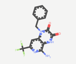 Nc1nc(C(F)(F)F)cc2c1[nH]c(=O)c(=O)n2Cc1ccccc1